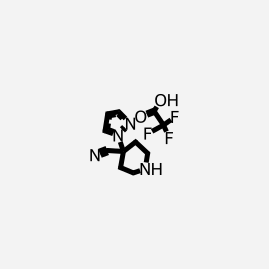 N#CC1(n2cccn2)CCNCC1.O=C(O)C(F)(F)F